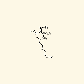 CCCCCCCCCCCCCCCCN(C)C(=NC)N(C)C